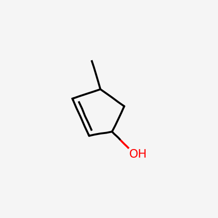 CC1C=CC(O)C1